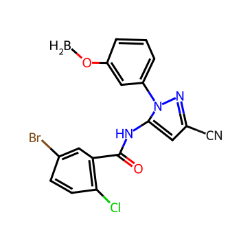 BOc1cccc(-n2nc(C#N)cc2NC(=O)c2cc(Br)ccc2Cl)c1